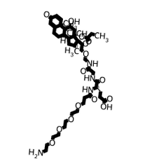 CCC(=O)O[C@]1(C(=O)COCNC(=O)CNC(=O)[C@H](CCC(=O)O)NC(=O)CCOCCOCCOCCOCCN)[C@@H](C)CC2[C@@H]3CCC4=CC(=O)C=C[C@]4(C)[C@@]3(Cl)[C@@H](O)C[C@@]21C